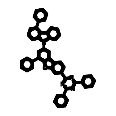 c1ccc(-c2nc(-c3ccccc3)nc(-c3ccc4c(c3)oc3c(-c5ccccc5)cc(-n5c6ccccc6c6c(-c7ccccc7)cccc65)cc34)n2)cc1